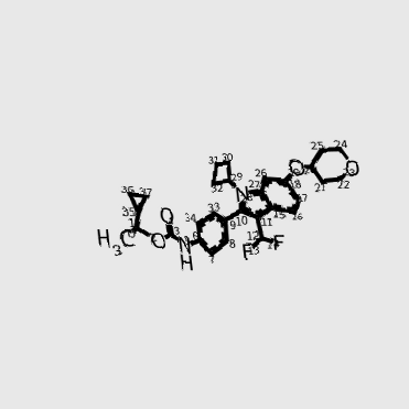 CC(OC(=O)Nc1ccc(-c2c(C(F)F)c3ccc(OC4CCOCC4)cc3n2C2CCC2)cc1)C1CC1